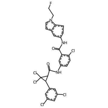 O=C(Nc1ccc2c(ccn2CCF)c1)c1cc(NC(=O)C2C(c3cc(Cl)cc(Cl)c3)C2(Cl)Cl)ccc1Cl